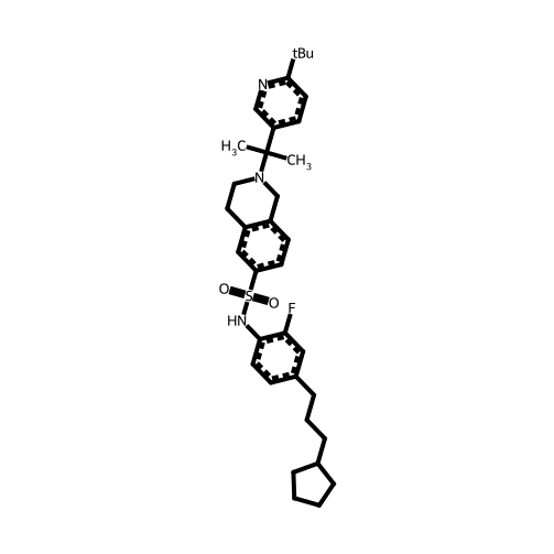 CC(C)(C)c1ccc(C(C)(C)N2CCc3cc(S(=O)(=O)Nc4ccc(CCCC5CCCC5)cc4F)ccc3C2)cn1